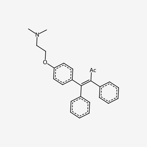 CC(=O)C(=C(c1ccccc1)c1ccc(OCCN(C)C)cc1)c1ccccc1